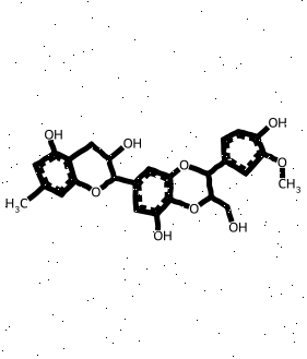 COc1cc(C2Oc3cc(C4Oc5cc(C)cc(O)c5CC4O)cc(O)c3OC2CO)ccc1O